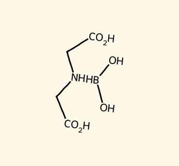 O=C(O)CNCC(=O)O.OBO